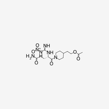 CC(=O)OCCC1CCN(C(=O)[C@H](CCC(N)=O)NC(=N)N[N+](=O)[O-])CC1